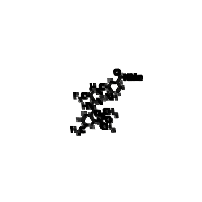 CNC(=O)c1ccc(Nc2ncc(C(F)(F)F)c(NCc3ccc(C)cc3N(C)S(C)(=O)=O)n2)c(C)c1